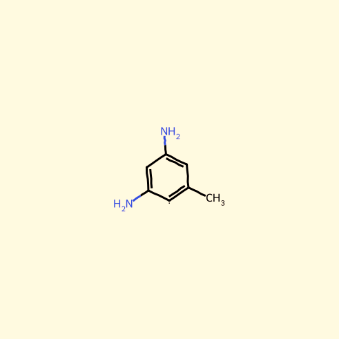 Cc1[c]c(N)cc(N)c1